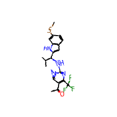 CSc1ccc2cc(C(Nc3ncc(C(C)=O)c(C(F)(F)F)n3)C(C)C)[nH]c2c1